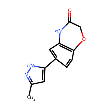 Cc1cc(-c2ccc3c(c2)NC(=O)CO3)[nH]n1